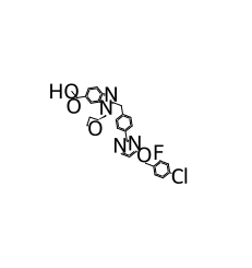 O=C(O)c1ccc2nc(Cc3ccc(-c4nccc(OCc5ccc(Cl)cc5F)n4)cc3)n(C[C@@H]3CCO3)c2c1